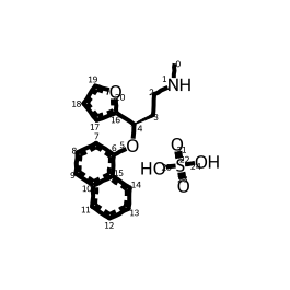 CNCC[C@@H](Oc1cccc2ccccc12)c1ccco1.O=S(=O)(O)O